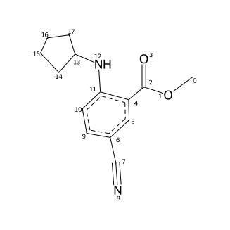 COC(=O)c1cc(C#N)ccc1NC1CCCC1